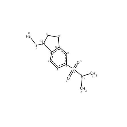 CN(C)S(=O)(=O)c1ccc2c(c1)CCN2SS